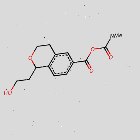 CNC(=O)OC(=O)c1ccc2c(c1)CCOC2CCO